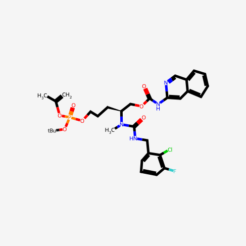 C=C(C)OP(=O)(OCCC[C@@H](COC(=O)Nc1cc2ccccc2cn1)N(C)C(=O)NCc1cccc(F)c1Cl)OC(C)(C)C